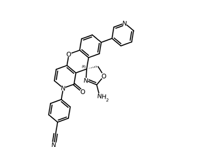 N#Cc1ccc(-n2ccc3c(c2=O)[C@@]2(COC(N)=N2)c2cc(-c4cccnc4)ccc2O3)cc1